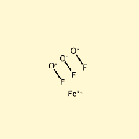 [Fe+3].[O-]F.[O-]F.[O-]F